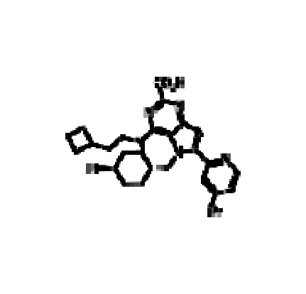 CC[C@H]1CC[C@H](Cn2c(-c3cc(C(C)C)ccn3)nc3nc(C(=O)O)nc(NCCC4CCC4)c32)CC1